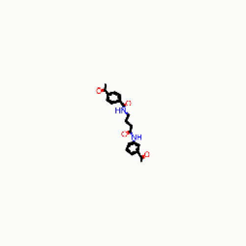 CC(=O)c1ccc(C(=O)NCCCC(=O)Nc2cccc(C(C)=O)c2)cc1